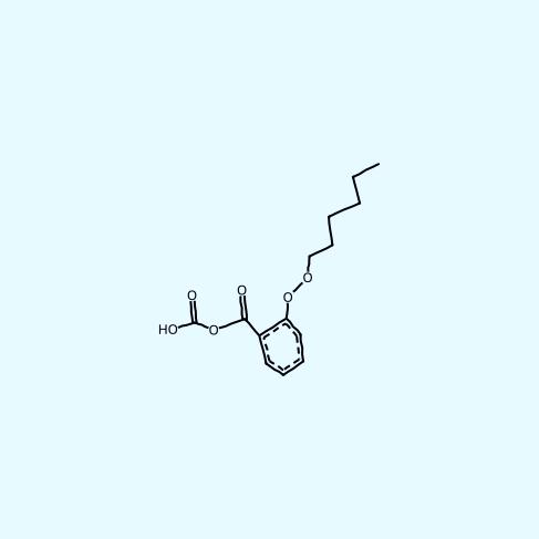 CCCCCCOOc1ccccc1C(=O)OC(=O)O